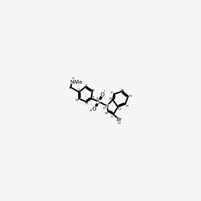 CNCc1ccc(S(=O)(=O)n2cc(Br)c3ccccc32)cc1